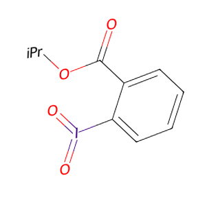 CC(C)OC(=O)c1ccccc1I(=O)=O